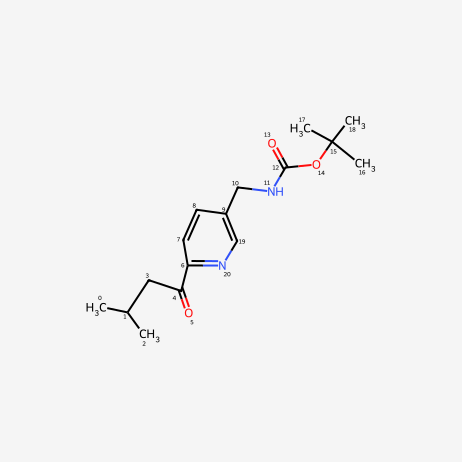 CC(C)CC(=O)c1ccc(CNC(=O)OC(C)(C)C)cn1